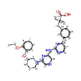 CCOc1ccccc1O[C@@H]1CCCN(c2cncc(Nc3nccc(-c4cccc(CC(C)(C)C(=O)O)c4)n3)n2)C1